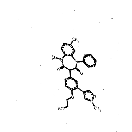 CCN1C(=O)C(c2ccc(OCCO)c(-c3cnn(C)c3)c2)C(=O)N(c2ccccc2)c2cc(C(F)(F)F)ccc21